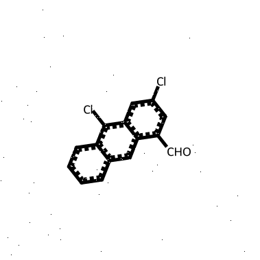 O=Cc1cc(Cl)cc2c(Cl)c3ccccc3cc12